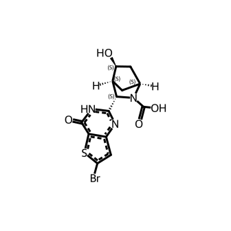 O=C(O)N1[C@H]2C[C@@H]([C@H]1c1nc3cc(Br)sc3c(=O)[nH]1)[C@@H](O)C2